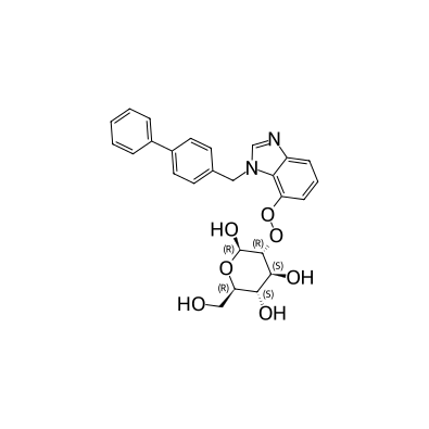 OC[C@H]1O[C@@H](O)[C@H](OOc2cccc3ncn(Cc4ccc(-c5ccccc5)cc4)c23)[C@@H](O)[C@@H]1O